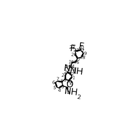 NC(=O)c1ccccc1-c1ccc2[nH]c(C=Cc3ccc(F)c(F)c3)nc2c1